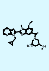 CNC1C[C@@H](O)CN(C(=O)c2cc(OC)c3c(c2)nc(-c2cc4cccnc4n2CC2CC2)n3C)C1